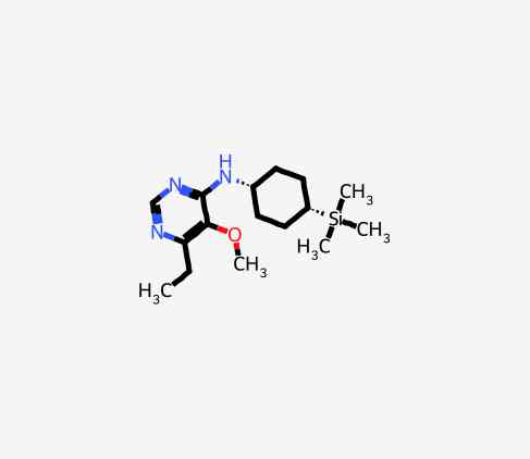 CCc1ncnc(N[C@H]2CC[C@@H]([Si](C)(C)C)CC2)c1OC